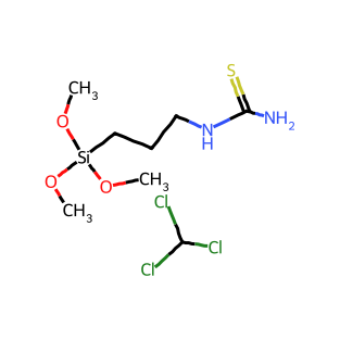 CO[Si](CCCNC(N)=S)(OC)OC.ClC(Cl)Cl